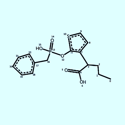 CCCC(C(=O)O)c1ccsc1OP(=O)(O)Cc1ccccc1